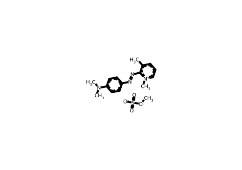 COS(=O)(=O)[O-].Cc1ccc[n+](C)c1N=Nc1ccc(N(C)C)cc1